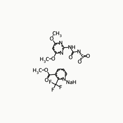 COC(=O)c1cccnc1C(F)(F)F.COc1cc(OC)nc(NC(=O)N=S(=O)=O)n1.[NaH]